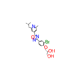 Cc1cc(-c2nc(-c3ccc(OCC(O)CO)c(Br)c3)no2)cc(CC(C)C)n1